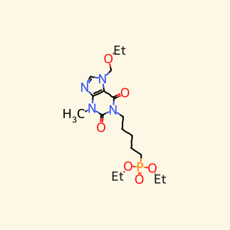 CCOCn1cnc2c1c(=O)n(CCCCCP(=O)(OCC)OCC)c(=O)n2C